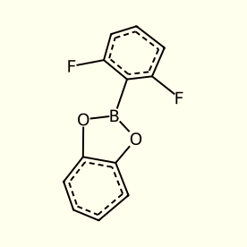 Fc1cccc(F)c1B1Oc2ccccc2O1